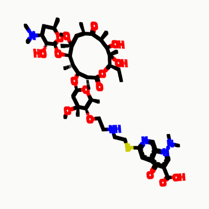 CC[C@H]1OC(=O)[C@H](C)[C@@H](O[C@H]2C[C@@](C)(OC)[C@@H](OCCNCCSc3cc4c(=O)c(C(=O)O)cn(N(C)C)c4cn3)[C@H](C)O2)[C@H](C)[C@@H](O[C@@H]2O[C@H](C)C[C@H](N(C)C)[C@H]2O)[C@](C)(OC)C[C@@H](C)C(=O)[C@@H](C)[C@@H](O)[C@]1(C)O